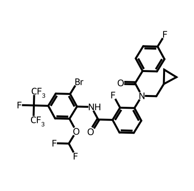 O=C(Nc1c(Br)cc(C(F)(C(F)(F)F)C(F)(F)F)cc1OC(F)F)c1cccc(N(CC2CC2)C(=O)c2ccc(F)cc2)c1F